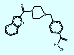 O=C(NO)c1ccc(CN2CCN(C(=O)c3cc4ccccc4o3)CC2)cc1